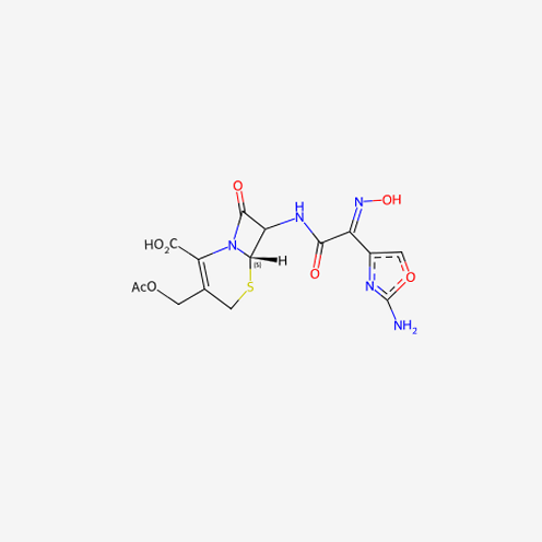 CC(=O)OCC1=C(C(=O)O)N2C(=O)C(NC(=O)C(=NO)c3coc(N)n3)[C@@H]2SC1